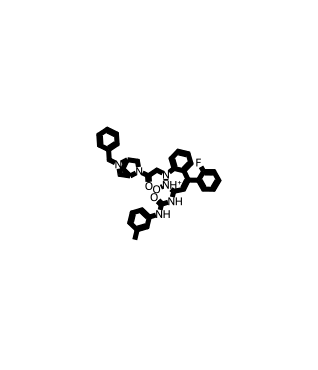 Cc1cccc(NC(=O)NC2C=C(c3ccccc3F)c3ccccc3N(CC(=O)N3CC4CC3CN4Cc3ccccc3)[NH+]2[O-])c1